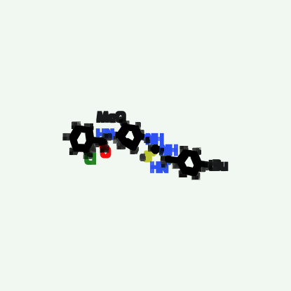 COc1cc(NC(=S)NC(=N)c2ccc(C(C)(C)C)cc2)ccc1NC(=O)c1ccccc1Cl